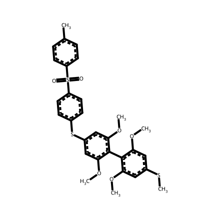 COc1cc(SC)cc(OC)c1-c1c(OC)cc(Sc2ccc(S(=O)(=O)c3ccc(C)cc3)cc2)cc1OC